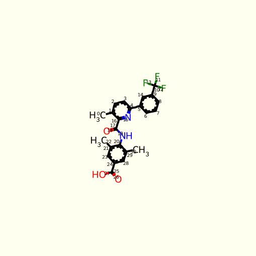 Cc1ccc(-c2cccc(C(F)(F)F)c2)nc1C(=O)Nc1c(C)cc(C(=O)O)cc1C